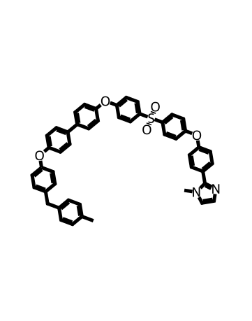 Cc1ccc(Cc2ccc(Oc3ccc(-c4ccc(Oc5ccc(S(=O)(=O)c6ccc(Oc7ccc(-c8nccn8C)cc7)cc6)cc5)cc4)cc3)cc2)cc1